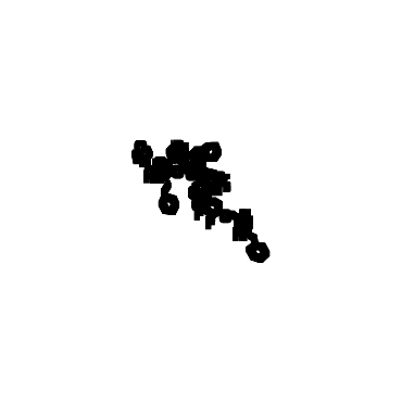 CC(C)C[C@H](NC(=O)[C@H](CCc1ccccc1)NC(=O)CN1CCOCC1)C(=O)N[C@@H](Cc1ccccc1)C(=O)N[C@@H](CC(C)C)C(=O)C(C)(O)COS(=O)(=O)c1ccc(OCc2cn(PCc3ccccc3)nn2)c(F)c1F